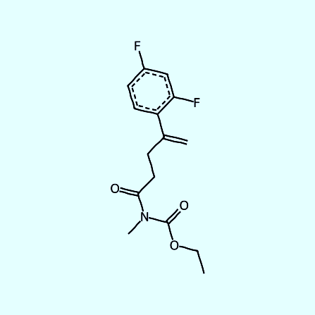 C=C(CCC(=O)N(C)C(=O)OCC)c1ccc(F)cc1F